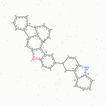 C1=CC(c2ccc3oc4cc5c6c(cccc6c4c3c2)-c2ccccc2-5)Cc2c1[nH]c1ccccc21